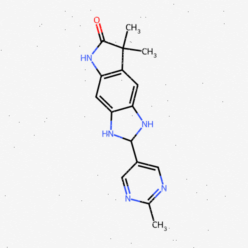 Cc1ncc(C2Nc3cc4c(cc3N2)C(C)(C)C(=O)N4)cn1